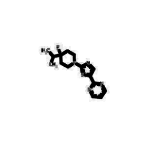 CC(C)C1(F)CCN(c2ncc(-c3ncccn3)s2)CC1